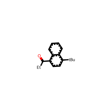 CCC(=O)c1ccc(C(C)(C)C)c2ccccc12